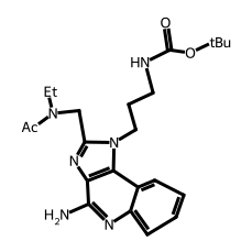 CCN(Cc1nc2c(N)nc3ccccc3c2n1CCCNC(=O)OC(C)(C)C)C(C)=O